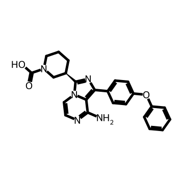 Nc1nccn2c([C@@H]3CCCN(C(=O)O)C3)nc(-c3ccc(Oc4ccccc4)cc3)c12